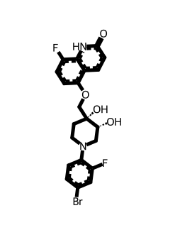 O=c1ccc2c(OC[C@]3(O)CCN(c4ccc(Br)cc4F)C[C@H]3O)ccc(F)c2[nH]1